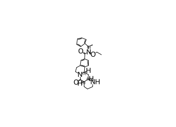 CCON(C(=O)c1ccc2c(c1)CCN1C(=O)[C@H]3CCCN[C@H]3C[C@@H]21)[C@H](C)c1ccccc1